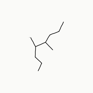 [CH2]C(CCC)C(C)CCC